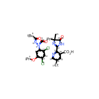 CC(C)Oc1cc(-n2nc(C(C)(C)C)oc2=O)c(Cl)cc1Cl.CCc1cnc(C2=NC(C)(C(C)C)C(=O)N2)c(C(=O)O)c1